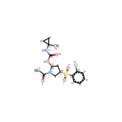 CC(C)(C)C(=O)N1C[C@H](S(=O)(=O)c2ccccc2Cl)C[C@@H]1OC(=O)NC1(C#N)CC1